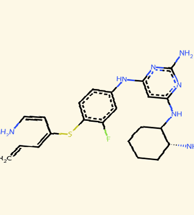 C=C/C=C(\C=C/N)Sc1ccc(Nc2cc(NC3CCCC[C@H]3N)nc(N)n2)cc1F